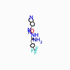 N[C@H](CNc1nnc(-c2ccc3cnccc3c2)o1)Cc1ccc(C(F)(F)F)cc1